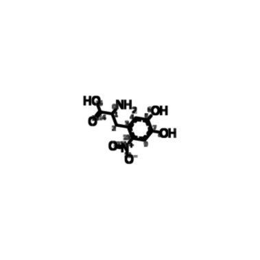 NC(Cc1cc(O)c(O)cc1[N+](=O)[O-])C(=O)O